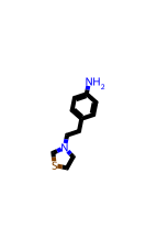 Nc1ccc(CCN2CCSC2)cc1